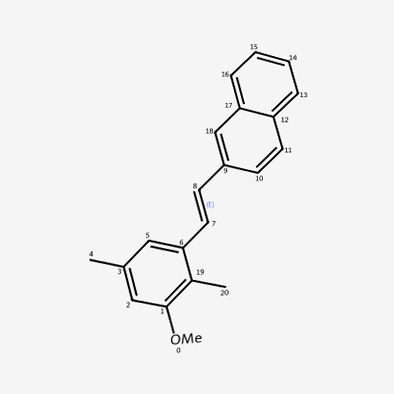 COc1cc(C)cc(/C=C/c2ccc3ccccc3c2)c1C